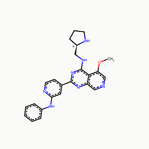 COc1cncc2nc(-c3ccnc(Nc4ccccc4)c3)nc(NC[C@H]3CCCN3)c12